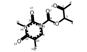 CC(=O)C(C)OC(=O)n1cc(F)c(=O)n(C)c1=O